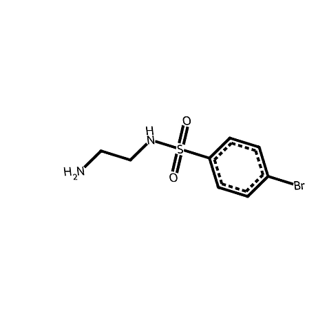 NCCNS(=O)(=O)c1ccc(Br)cc1